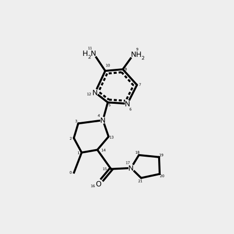 CC1CCN(c2ncc(N)c(N)n2)CC1C(=O)N1CCCC1